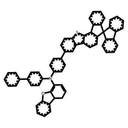 C1=CC(N(c2ccc(-c3ccccc3)cc2)c2ccc(-c3ccc4sc5c6c(ccc5c4c3)C3(c4ccccc4-c4ccccc43)c3ccccc3-6)cc2)=C2Oc3ccccc3C2C1